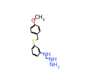 COc1ccc(CSc2cccc(NCNN)c2)cc1